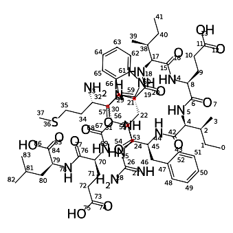 CC[C@H](C)[C@H](NC(=O)[C@H](CCC(=O)O)NC(=O)[C@@H](NC(=O)[C@H](CCCNC(=N)N)NC(=O)[C@@H](N)CCSC)[C@@H](C)CC)C(=O)N[C@@H](Cc1ccccc1)C(=O)N[C@@H](Cc1c[nH]c2ccccc12)C(=O)N[C@@H](CCC(=O)O)C(=O)N[C@@H](CC(C)C)C(=O)O